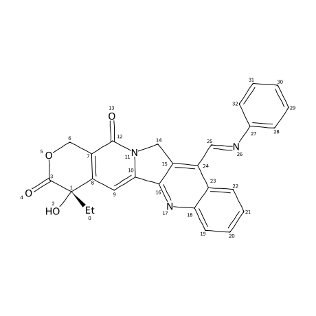 CC[C@@]1(O)C(=O)OCc2c1cc1n(c2=O)Cc2c-1nc1ccccc1c2C=Nc1ccccc1